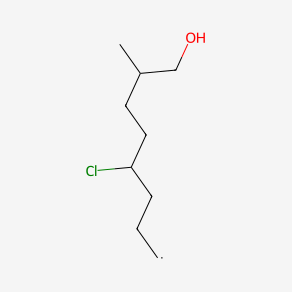 [CH2]CCC(Cl)CCC(C)CO